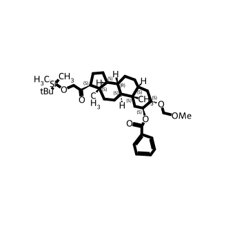 COCO[C@H]1C[C@@H]2CC[C@@H]3[C@H](CC[C@]4(C)[C@@H](C(=O)CO[Si](C)(C)C(C)(C)C)CC[C@@H]34)[C@@]2(C)C[C@@H]1OC(=O)c1ccccc1